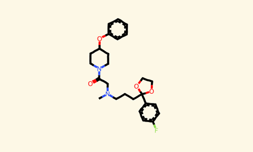 CN(CCCC1(c2ccc(F)cc2)OCCO1)CC(=O)N1CCC(Oc2ccccc2)CC1